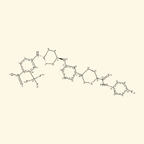 O=[N+]([O-])c1ccc(N[C@H]2CC[C@H](Oc3cncc(N4CCN(C(=S)Nc5ccc(F)cc5)CC4)c3)CC2)cc1C(F)(F)F